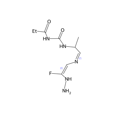 CCC(=O)NC(=O)NC(C)/C=N\C=C(\F)NN